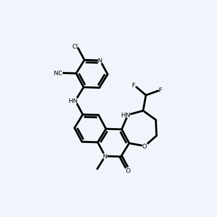 Cn1c(=O)c2c(c3cc(Nc4ccnc(Cl)c4C#N)ccc31)NC(C(F)F)CCO2